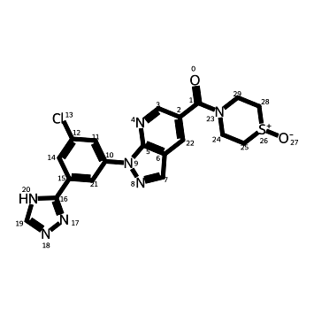 O=C(c1cnc2c(cnn2-c2cc(Cl)cc(-c3nnc[nH]3)c2)c1)N1CC[S+]([O-])CC1